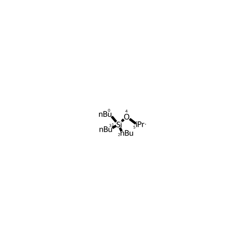 CCCC[Si](CCCC)(CCCC)O[C](C)C